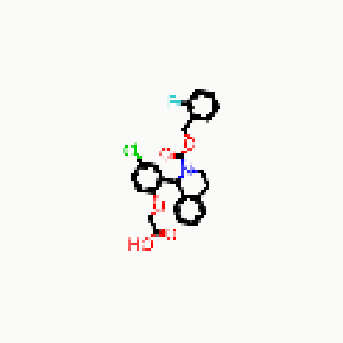 O=C(O)COc1ccc(Cl)cc1C1c2ccccc2CCN1C(=O)OCc1ccccc1F